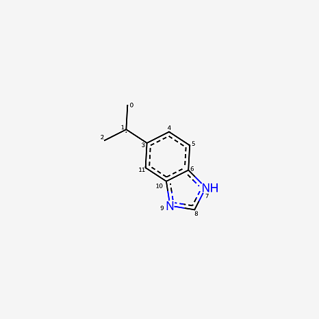 C[C](C)c1ccc2[nH]cnc2c1